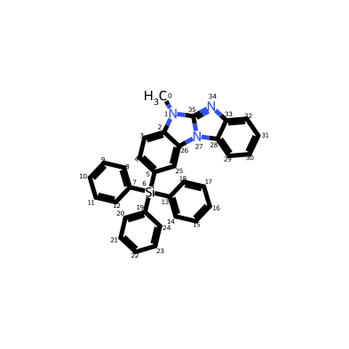 Cn1c2ccc([Si](c3ccccc3)(c3ccccc3)c3ccccc3)cc2n2c3ccccc3nc12